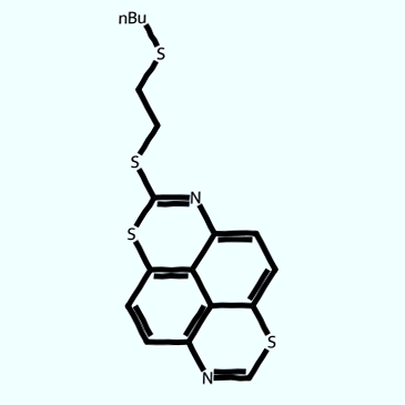 CCCCSCCSC1=Nc2ccc3c4c(ccc(c24)S1)N=CS3